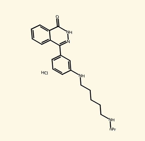 CCCNCCCCCNc1cccc(-c2n[nH]c(=O)c3ccccc23)c1.Cl